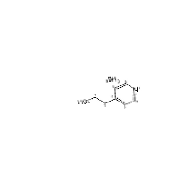 B.OCCc1ccncc1